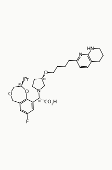 CC(C)[C@@H]1COCc2cc(F)cc([C@@H](C(=O)O)N3CC[C@@H](OCCCCc4ccc5c(n4)NCCC5)C3)c2O1